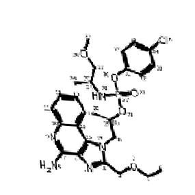 CCOCc1nc2c(N)nc3ccccc3c2n1C[C@@H](C)OP(=O)(N[C@@H](C)COC)Oc1ccc(Cl)cc1